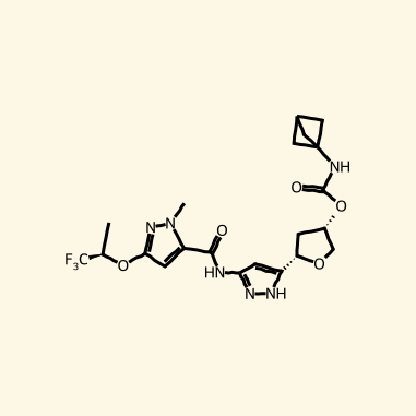 C[C@@H](Oc1cc(C(=O)Nc2cc([C@@H]3C[C@H](OC(=O)NC45CC(C4)C5)CO3)[nH]n2)n(C)n1)C(F)(F)F